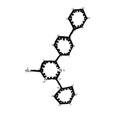 CC(C)(C)c1cc(-c2ccc(-c3ccccc3)cc2)nc(-c2ccccc2)n1